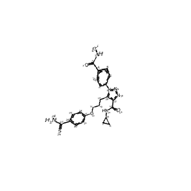 CCNC(=O)c1ccc(-n2nnc(C(=O)NC3CC3)c2CCCOc2ccc(C(N)=S)cc2)cc1